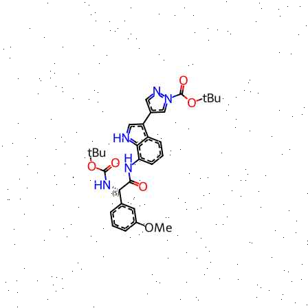 COc1cccc([C@H](NC(=O)OC(C)(C)C)C(=O)Nc2cccc3c(-c4cnn(C(=O)OC(C)(C)C)c4)c[nH]c23)c1